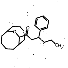 [CH2]CCC(CC(=O)[C]1OC2CCCCC1COCC2)c1ccccc1